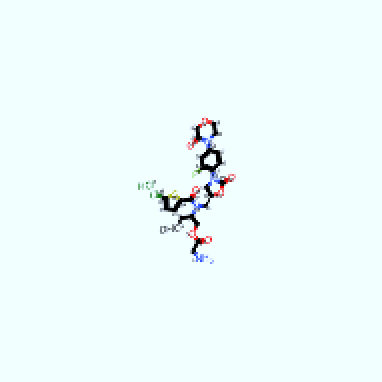 Cl.NCC(=O)OCC(CC=O)N(C[C@H]1CN(c2ccc(N3CCOCC3=O)cc2F)C(=O)O1)C(=O)c1ccc(Cl)s1